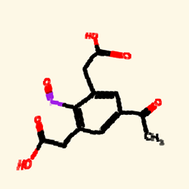 CC(=O)c1cc(CC(=O)O)c(I=O)c(CC(=O)O)c1